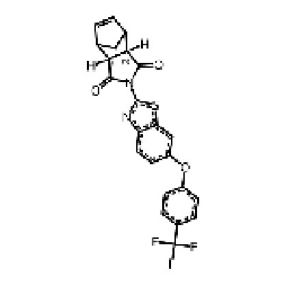 O=C1[C@@H]2C3C=CC(C3)[C@@H]2C(=O)N1c1nc2ccc(Oc3ccc(C(F)(F)F)cc3)cc2s1